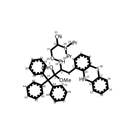 COC(OC)(C(Cc1cccc2c1Nc1ccccc1S2)POCC(C#N)N(C(C)C)C(C)C)C(c1ccccc1)(c1ccccc1)c1ccccc1